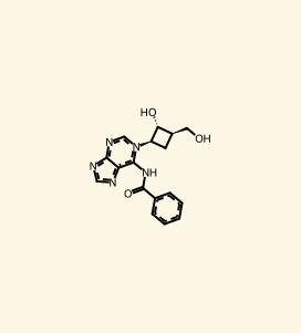 O=C(Nc1c2ncnc-2ncn1[C@@H]1C[C@H](CO)[C@H]1O)c1ccccc1